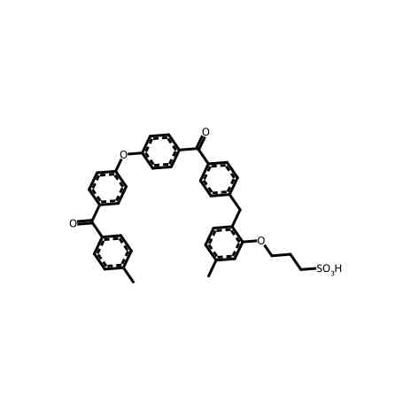 Cc1ccc(C(=O)c2ccc(Oc3ccc(C(=O)c4ccc(Cc5ccc(C)cc5OCCCS(=O)(=O)O)cc4)cc3)cc2)cc1